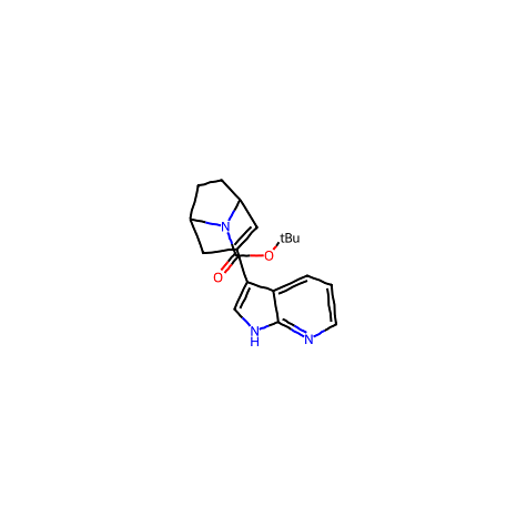 CC(C)(C)OC(=O)N1C2C=C(c3c[nH]c4ncccc34)CC1CC2